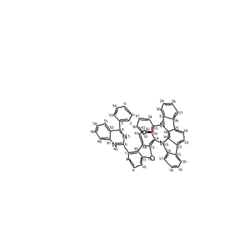 c1ccc(-c2nc(-c3cccc4oc5c(-n6c7ccccc7c7ccc8c9ccccc9n(-c9ccccc9)c8c76)cccc5c34)nc3ccccc23)cc1